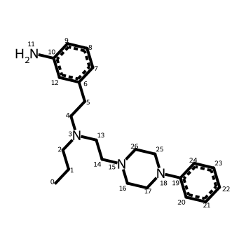 CCCN(CCc1cccc(N)c1)CCN1CCN(c2ccccc2)CC1